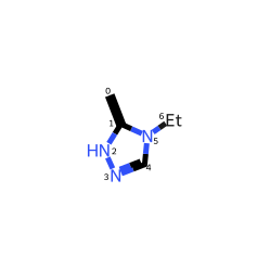 C=C1NN=CN1CC